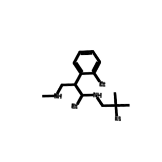 CBCC(c1ccccc1CC)C(CC)NCC(C)(C)CC